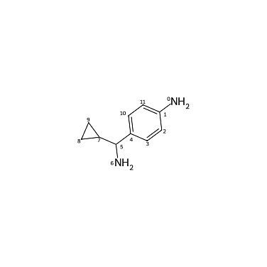 Nc1ccc(C(N)C2CC2)cc1